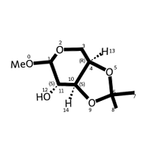 COC1OC[C@H]2OC(C)(C)O[C@H]2[C@@H]1O